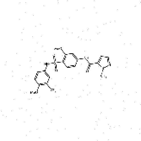 COc1ccc(NS(=O)(=O)c2ccc(NC(=O)c3ccnn3C)cc2OC)cc1C(F)(F)F